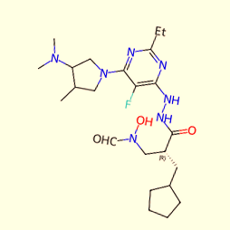 CCc1nc(NNC(=O)[C@H](CC2CCCC2)CN(O)C=O)c(F)c(N2CC(C)C(N(C)C)C2)n1